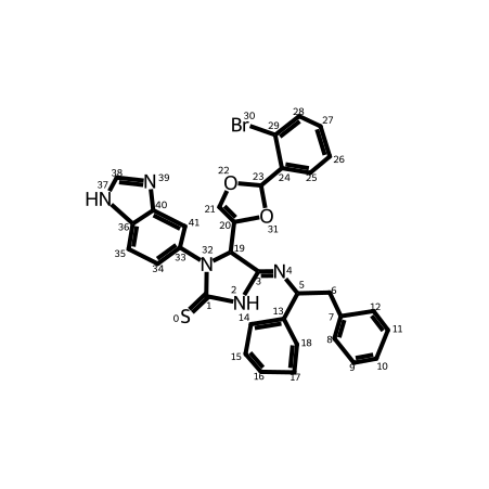 S=C1NC(=NC(Cc2ccccc2)c2ccccc2)C(C2=COC(c3ccccc3Br)O2)N1c1ccc2[nH]cnc2c1